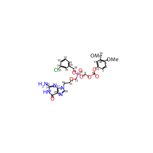 COc1ccc(OC(=O)OCOP(=O)(COCCn2cnc3c(=O)[nH]c(N)nc32)OCc2cccc(Cl)c2)cc1OC